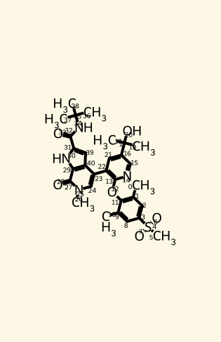 Cc1cc(S(C)(=O)=O)cc(C)c1Oc1ncc(C(C)(C)O)cc1-c1cn(C)c(=O)c2[nH]c(C(=O)NC(C)(C)C)cc12